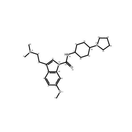 COc1ccc2c(CCN(C)C)cn(C(=O)NC3CCC(N4CCCC4)CC3)c2c1